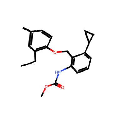 CCc1cc(C)ccc1OCc1c(NC(=O)OC)cccc1C1CC1